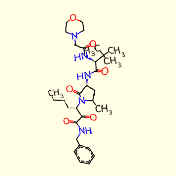 CCCC[C@@H](C(=O)C(=O)NCc1ccccc1)N1C(=O)[C@@H](NC(=O)[C@@H](NC(=O)CN2CCOCC2)C(C)(C)C)CC1C